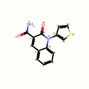 NC(=O)c1cc2ccccc2n(-c2ccsc2)c1=O